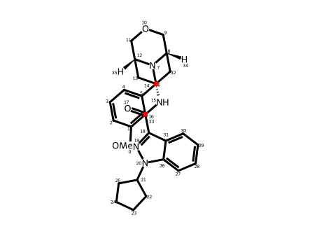 COc1cccc(CN2[C@@H]3COC[C@H]2C[C@@H](NC(=O)c2nn(C4CCCC4)c4ccccc24)C3)c1